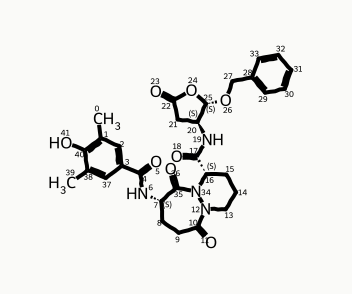 Cc1cc(C(=O)N[C@H]2CCC(=O)N3CCC[C@@H](C(=O)N[C@H]4CC(=O)O[C@@H]4OCc4ccccc4)N3C2=O)cc(C)c1O